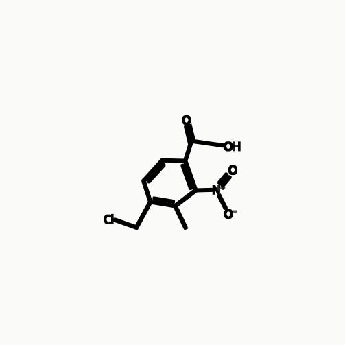 Cc1c(CCl)ccc(C(=O)O)c1[N+](=O)[O-]